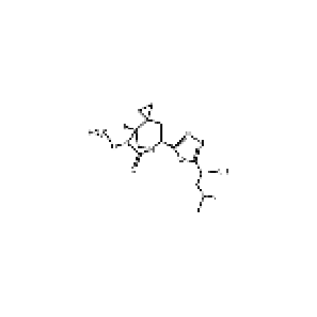 CN(C)C[C@H](O)c1nnc([C@@H]2CC3(CC3)[C@@H]3CN2C(=O)N3OS(=O)(=O)O)o1